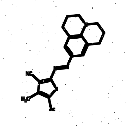 CC(=O)c1sc(N=Nc2cc3c4c(c2)CCCN4CCC3)c(C#N)c1C